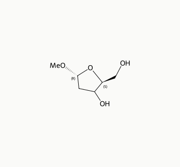 CO[C@H]1CC(O)[C@H](CO)O1